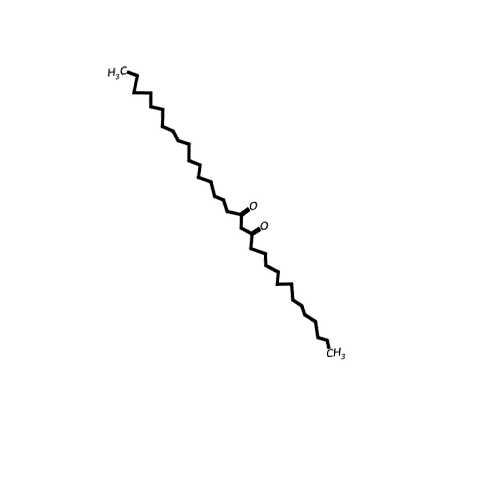 CCCCCCCCCCCCCCCCCC(=O)CC(=O)CCCCCCCCCCCCC